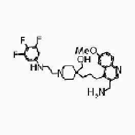 COc1ccc2ncc(CN)c(CCCC3(CO)CCN(CCNc4cc(F)c(F)c(F)c4)CC3)c2c1